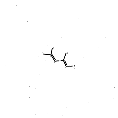 CC/C=C(\C)C=C(C)C